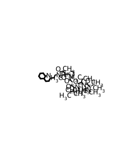 CC[C@H](C)C([C@@H](CC(=O)N1CCC[C@H]1[C@H](OC)[C@@H](C)C(=O)NCCc1ccc2ccccc2n1)OC)N(C)C(=O)[C@@H](NC(=O)[C@H](C(C)C)N(C)C)C(C)C